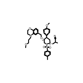 COCCCN1CCOc2ccc(CO[C@H]3CN(S(=O)(=O)c4ccc(C)cc4)[C@@H](CC(C)C#N)CC3c3ccc(OC)cc3)cc21